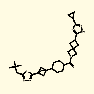 CC(C)(C)Cc1nnc(C23CC(C4CCN(C(=O)N5CC6(CC(c7nc(C8CC8)n[nH]7)C6)C5)CC4)(C2)C3)o1